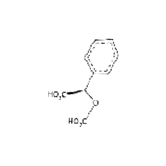 O=C(O)O[C@@H](C(=O)O)c1ccccc1